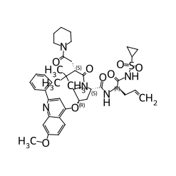 C=CC[C@@H](NC(=O)[C@@H]1C[C@@H](Oc2cc(-c3ccccc3)nc3cc(OC)ccc23)CN1C(=O)[C@@H](CC(=O)N1CCCCC1)C(C)(C)C)C(=O)NS(=O)(=O)C1CC1